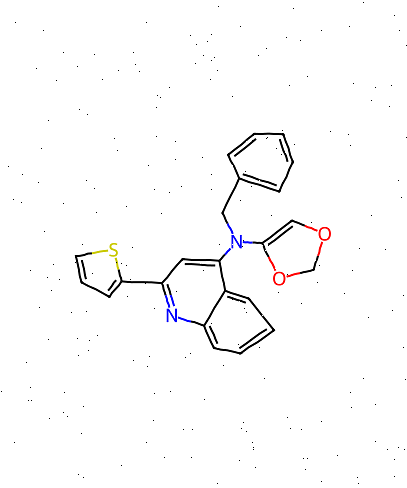 C1=C(N(Cc2ccccc2)c2cc(-c3cccs3)nc3ccccc23)OCO1